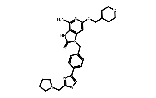 Nc1nc(OCC2CCOCC2)cc2c1[nH]c(=O)n2Cc1ccc(-c2csc(CN3CCCC3)n2)cc1